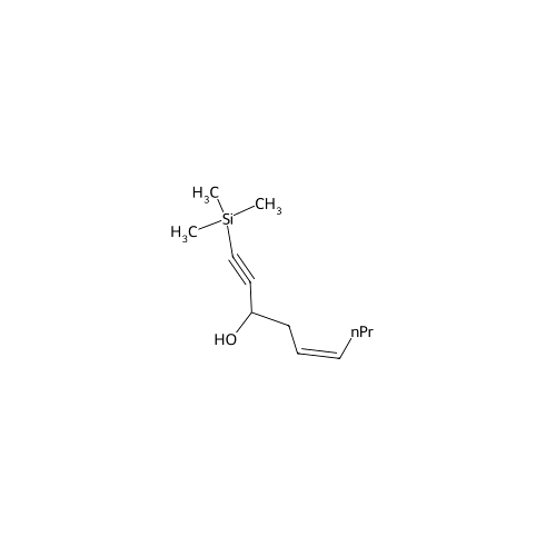 CCC/C=C\CC(O)C#C[Si](C)(C)C